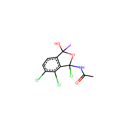 CC(=O)NC1(Cl)OC(O)(I)c2ccc(Cl)c(Cl)c21